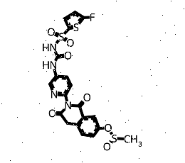 CS(=O)Oc1ccc2c(c1)C(=O)N(c1ccc(NC(=O)NS(=O)(=O)c3ccc(F)s3)cn1)C(=O)C2